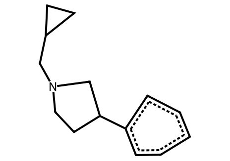 c1ccc(C2CCN(CC3CC3)C2)cc1